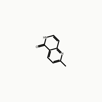 Cc1ccc2c(=O)[nH]ccc2n1